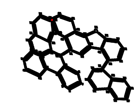 c1ccc(-c2ccccc2N(c2cccc3ccccc23)c2cc3c(oc4cccc(-c5cccc6ccccc56)c43)c3ccccc23)cc1